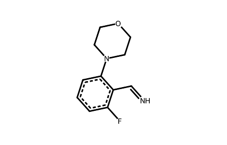 N=Cc1c(F)cccc1N1CCOCC1